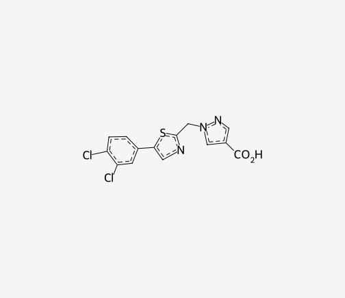 O=C(O)c1cnn(Cc2ncc(-c3ccc(Cl)c(Cl)c3)s2)c1